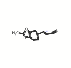 Cc1nc2ccc(/C=C/C#N)cc2o1